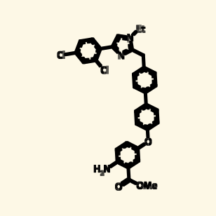 CCn1cc(-c2ccc(Cl)cc2Cl)nc1Cc1ccc(-c2ccc(Oc3ccc(N)c(C(=O)OC)c3)cc2)cc1